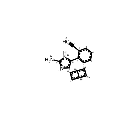 C#Cc1ccccc1-c1cnc(N)[nH]1.c1cc2ccc1-2